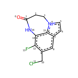 O=C1CCn2ccc3cc(CCl)c(F)c(c32)N1